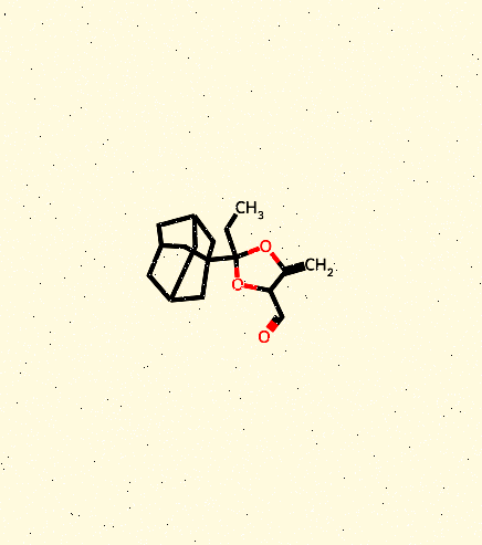 C=C1OC(CC)(C23CC4CC(CC(C4)C2)C3)OC1C=O